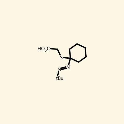 CC(C)(C)N=NC1(SCC(=O)O)CCCCC1